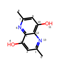 Cc1cc(O)c2nc(C)cc(O)c2n1